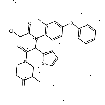 Cc1cc(Oc2ccccc2)ccc1N(C(=O)CCl)C(C(=O)N1CCNC(C)C1)c1cccs1